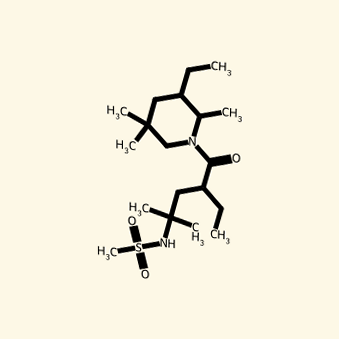 CCC(CC(C)(C)NS(C)(=O)=O)C(=O)N1CC(C)(C)CC(CC)C1C